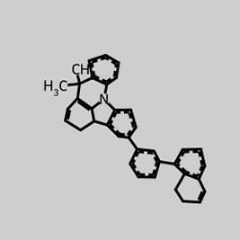 CC1(C)C2=C3C(CC=C2)c2cc(-c4cccc(-c5cccc6c5CCC=C6)c4)ccc2N3c2ccccc21